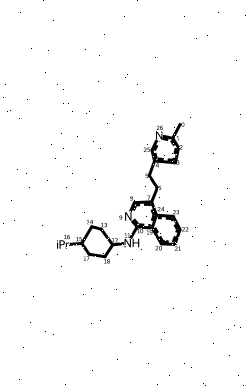 Cc1ccc(CCc2cnc(NC3CCC(C(C)C)CC3)c3ccccc23)cn1